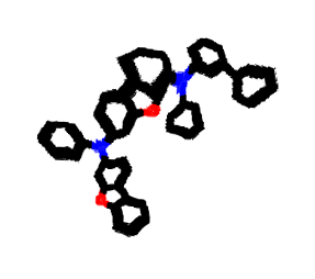 c1ccc(-c2cccc(N(c3ccccc3)c3cccc4c3oc3cc(N(c5ccccc5)c5ccc6c(c5)oc5ccccc56)ccc34)c2)cc1